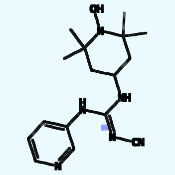 CC1(C)CC(N/C(=N\C#N)Nc2cccnc2)CC(C)(C)N1O